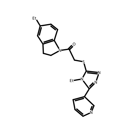 CCc1ccc2c(c1)CCN2C(=O)CSc1nnc(-c2cccnc2)n1CC